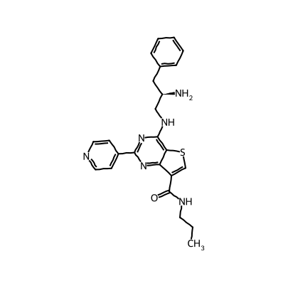 CCCNC(=O)c1csc2c(NC[C@H](N)Cc3ccccc3)nc(-c3ccncc3)nc12